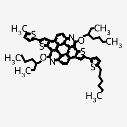 CCCCCCc1ccc(-c2cc3c4ccc5nc(OCC(CC)CCCC)c6c7sc(-c8ccc(C)s8)cc7c7ccc8nc(OCC(CC)CCCC)c(c3s2)c2c8c7c6c5c42)s1